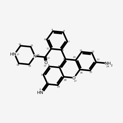 N=c1ccc2c(-c3ccccc3C(=O)N3CCNCC3)c3ccc(N)cc3oc-2c1